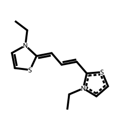 CCN1C=CSC1=CC=Cc1scc[n+]1CC